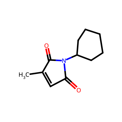 CC1=CC(=O)N(C2CCCCC2)C1=O